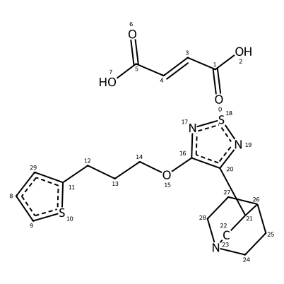 O=C(O)C=CC(=O)O.c1csc(CCCOc2nsnc2C2CN3CCC2CC3)c1